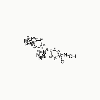 O=C(NO)c1ccc(Cn2nnnc2-c2cccc(S(F)(F)(F)(F)F)c2)cc1